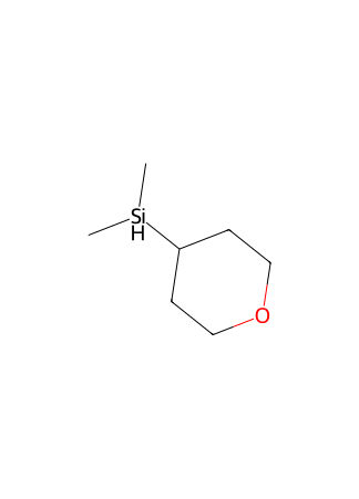 C[SiH](C)C1CCOCC1